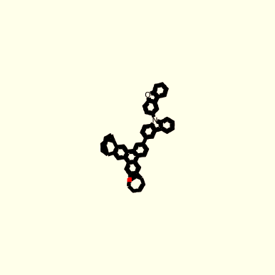 C1=CC2C=CC(C1)Cc1cc3c(cc12)c1ccc(-c2ccc4c(c2)c2ccccc2n4-c2ccc4oc5ccccc5c4c2)cc1c1cc2c(cc31)C1C=CC3C(C=C1)C23